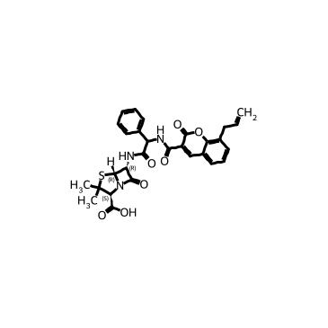 C=CCc1cccc2cc(C(=O)NC(C(=O)N[C@@H]3C(=O)N4[C@@H]3SC(C)(C)[C@@H]4C(=O)O)c3ccccc3)c(=O)oc12